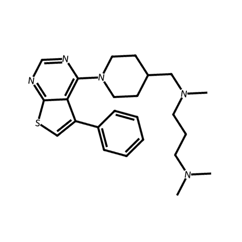 CN(C)CCCN(C)CC1CCN(c2ncnc3scc(-c4ccccc4)c23)CC1